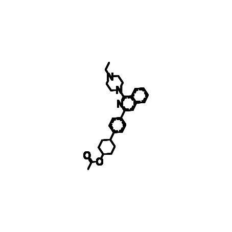 CCN1CCN(c2nc(-c3ccc(C4CCC(OC(C)=O)CC4)cc3)cc3ccccc23)CC1